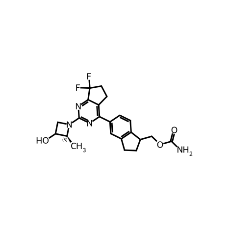 C[C@H]1C(O)CN1c1nc(-c2ccc3c(c2)CCC3COC(N)=O)c2c(n1)C(F)(F)CC2